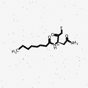 CCCCCCCC(=O)N[C@H](CC(N)=O)C(=O)CF